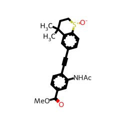 COC(=O)c1ccc(C#Cc2ccc3c(c2)C(C)(C)CC[S+]3[O-])c(NC(C)=O)c1